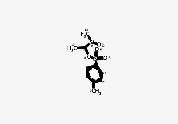 Cc1ccc(S(=O)(=O)OC(C)[S+]([O-])C(F)(F)F)cc1